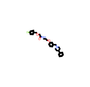 O=C(COCc1ccc(F)cc1)NCCCOc1cccc(CN2CCC(c3ccccc3)CC2)c1